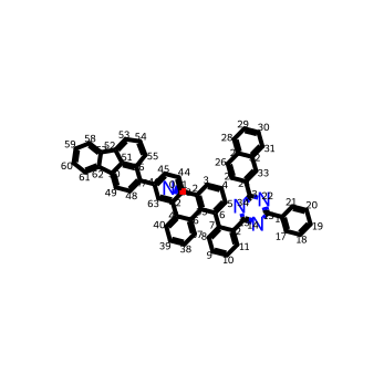 N#Cc1cccc(-c2ccccc2-c2nc(-c3ccccc3)nc(-c3ccc4ccccc4c3)n2)c1-c1ccccc1-c1cccc(-c2ccc3c4c(cccc24)-c2ccccc2-3)c1